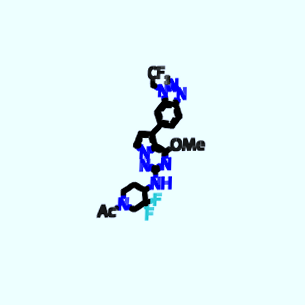 COc1nc(NC2CCN(C(C)=O)CC2(F)F)nn2ccc(-c3ccc4nnn(CC(F)(F)F)c4c3)c12